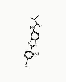 CC(C)C(=O)Nc1ccc2oc(-c3ccc(Cl)cc3Cl)nc2c1